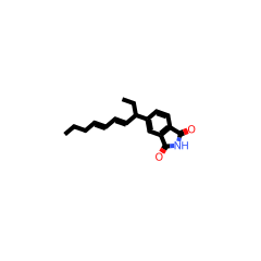 CCCC=CC=CC(CC)c1ccc2c(c1)C(=O)NC2=O